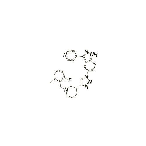 Cc1cccc(F)c1CN1CCC[C@@H](c2cn(-c3ccc4[nH]nc(-c5ccncc5)c4c3)nn2)C1